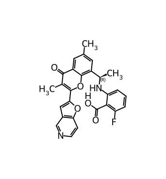 Cc1cc([C@@H](C)Nc2cccc(F)c2C(=O)O)c2oc(-c3cc4cnccc4o3)c(C)c(=O)c2c1